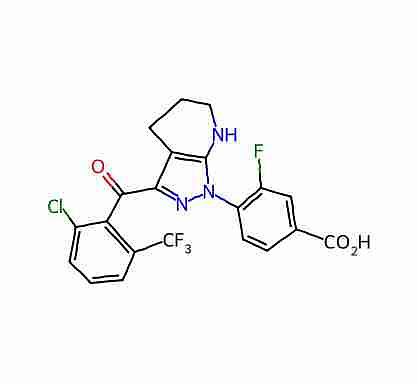 O=C(O)c1ccc(-n2nc(C(=O)c3c(Cl)cccc3C(F)(F)F)c3c2NCCC3)c(F)c1